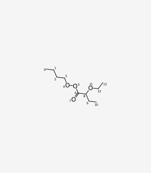 CCCCOOC(=O)C(CC)OCC